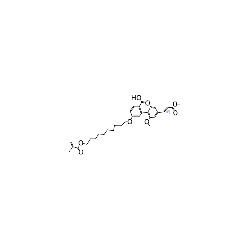 C=C(C)C(=O)OCCCCCCCCCCOc1ccc(C(=O)O)c(-c2ccc(/C=C/C(=O)OC)cc2OC)c1